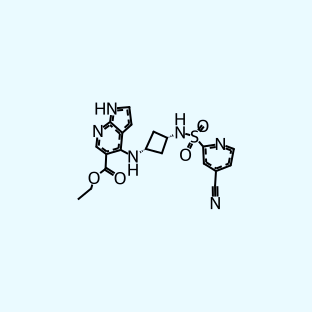 CCOC(=O)c1cnc2[nH]ccc2c1N[C@H]1C[C@@H](NS(=O)(=O)c2cc(C#N)ccn2)C1